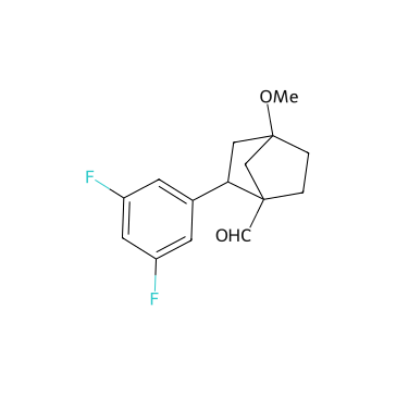 COC12CCC(C=O)(C1)C(c1cc(F)cc(F)c1)C2